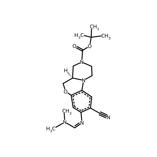 CN(C)/C=N\c1cc2c(cc1C#N)N1CCN(C(=O)OC(C)(C)C)C[C@@H]1CO2